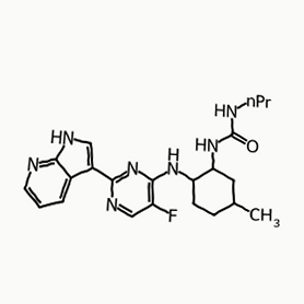 CCCNC(=O)NC1CC(C)CCC1Nc1nc(-c2c[nH]c3ncccc23)ncc1F